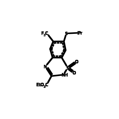 CCOC(=O)C1=Nc2cc(C(F)(F)F)c(SC(C)C)cc2S(=O)(=O)N1